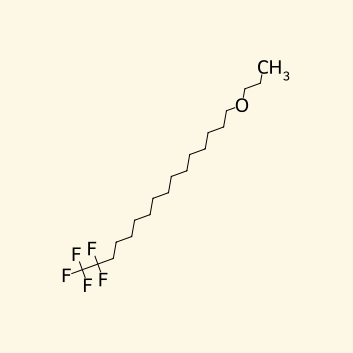 CCCOCCCCCCCCCCCCCCC(F)(F)C(F)(F)F